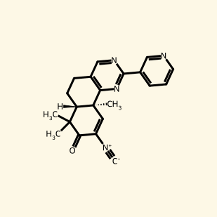 [C-]#[N+]C1=C[C@]2(C)c3nc(-c4cccnc4)ncc3CC[C@H]2C(C)(C)C1=O